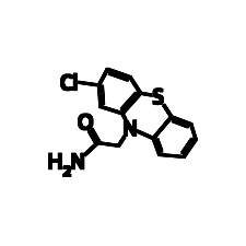 NC(=O)CN1c2ccccc2Sc2ccc(Cl)cc21